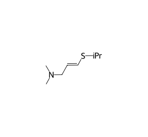 CC(C)S/C=C/CN(C)C